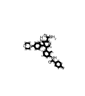 Cc1c(NC(=O)c2ccc(F)cc2)cccc1-c1cnc(C(N)=O)c2[nH]c3cc(N4CCOCC4)ccc3c12